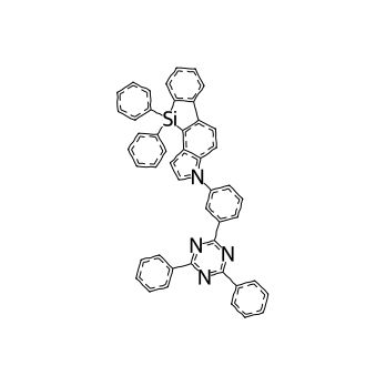 c1ccc(-c2nc(-c3ccccc3)nc(-c3cccc(-n4ccc5c6c(ccc54)-c4ccccc4[Si]6(c4ccccc4)c4ccccc4)c3)n2)cc1